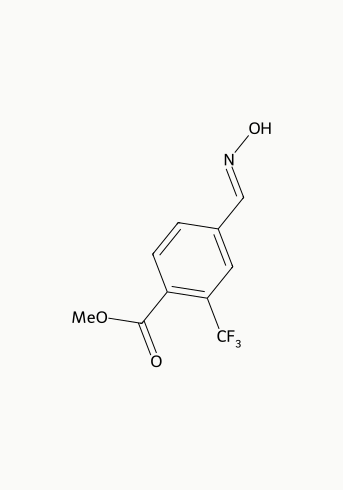 COC(=O)c1ccc(/C=N/O)cc1C(F)(F)F